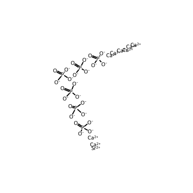 O=P([O-])([O-])[O-].O=P([O-])([O-])[O-].O=P([O-])([O-])[O-].O=P([O-])([O-])[O-].O=P([O-])([O-])[O-].O=P([O-])([O-])[O-].[Ca+2].[Ca+2].[Ca+2].[Ca+2].[Ca+2].[Ca+2].[Ca+2].[Ca+2].[Sr+2]